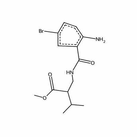 COC(=O)C(CNC(=O)c1cc(Br)ccc1N)C(C)C